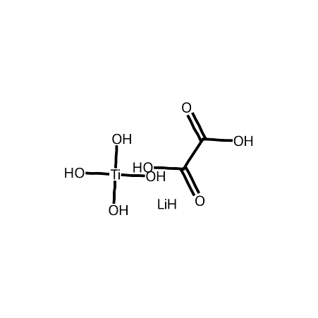 O=C(O)C(=O)O.[LiH].[OH][Ti]([OH])([OH])[OH]